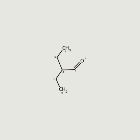 [CH2]CC(C=O)CC